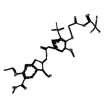 CCOc1cc2c(cc1C(=O)NC)C(=N)N(CC(=O)c1cc(OC)c(OCC(=O)OC(=O)C(F)(F)F)c(C(C)(C)C)c1)C2